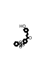 O=C(/C=C/c1ccc(O)cc1)c1ccc(OS(=O)(=O)c2ccccc2)cc1